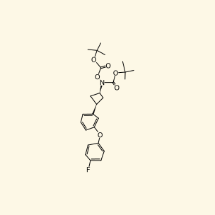 CC(C)(C)OC(=O)ON(C(=O)OC(C)(C)C)[C@H]1C[C@@H](c2cccc(Oc3ccc(F)cc3)c2)C1